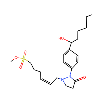 CCCCCC(O)c1ccc(N2C(=O)CCN2C/C=C\CCCS(=O)(=O)OC)cc1